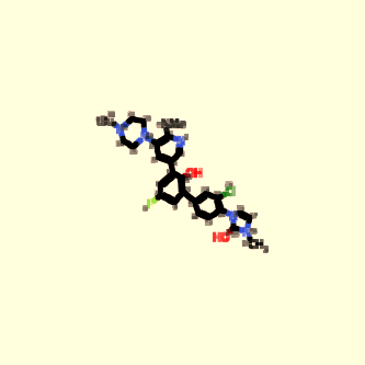 CNc1ncc(-c2cc(F)cc(-c3ccc(N4C=CN(C)C4O)c(Cl)c3)c2O)cc1N1CCN(C(C)(C)C)CC1